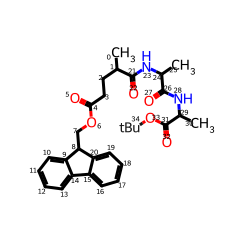 CC(CCC(=O)OCC1c2ccccc2-c2ccccc21)C(=O)NC(C)C(=O)NC(C)C(=O)OC(C)(C)C